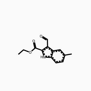 CCOC(=O)c1[nH]c2ccc(C)cc2c1C=O